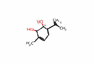 C=C(C)C1CC=C(C)C(O)[C@H]1O